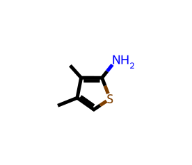 Cc1csc(N)c1C